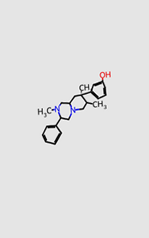 CC1CN2CC(c3ccccc3)N(C)CC2C[C@@]1(C)c1cccc(O)c1